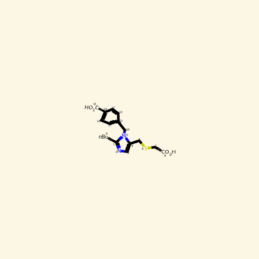 CCCCc1ncc(CSCC(=O)O)n1Cc1ccc(C(=O)O)cc1